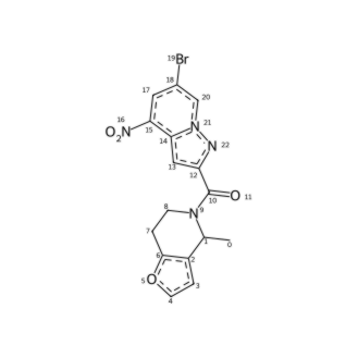 CC1c2ccoc2CCN1C(=O)c1cc2c([N+](=O)[O-])cc(Br)cn2n1